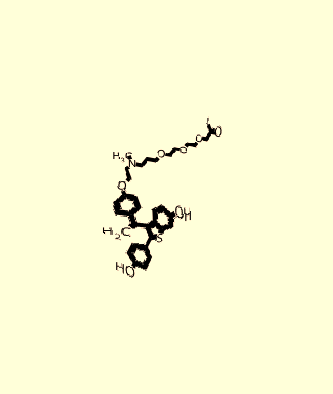 C=C(c1ccc(OCCN(C)CCCOCCOCCOCC(=O)I)cc1)c1c(-c2ccc(O)cc2)sc2cc(O)ccc12